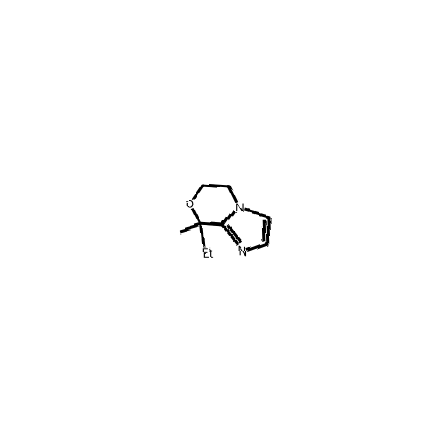 CCC1(C)OCCn2ccnc21